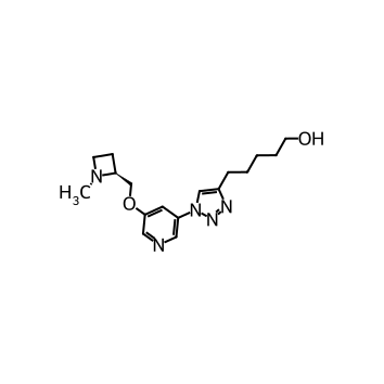 CN1CC[C@H]1COc1cncc(-n2cc(CCCCCO)nn2)c1